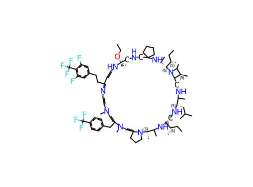 CCO[C@@H]1CNCC2(CCCC2)NC(C)[C@H]([C@@H](C)CC)N2C(C)[C@@H](C)C2CNC(C)[C@H](CC(C)C)NC[C@H]([C@@H](C)CC)NC(C)[C@H](C)N2CCCC2=CN(C)C(Cc2ccc(C(F)(F)F)cc2)=CN(C)C=CN=C(CCc2cc(F)c(C(F)(F)F)c(F)c2)C=CN1